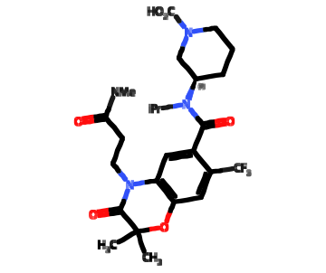 CNC(=O)CCN1C(=O)C(C)(C)Oc2cc(C(F)(F)F)c(C(=O)N(C(C)C)[C@@H]3CCCN(C(=O)O)C3)cc21